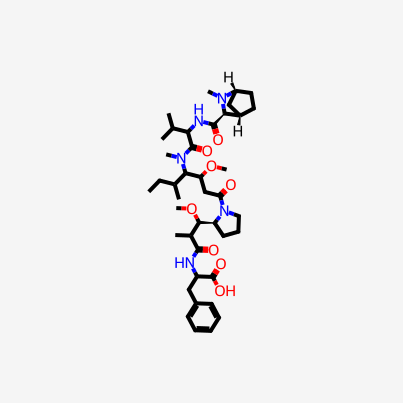 CCC(C)C(C(CC(=O)N1CCC[C@H]1C(OC)C(C)C(=O)NC(Cc1ccccc1)C(=O)O)OC)N(C)C(=O)C(NC(=O)[C@@H]1[C@H]2CC[C@H](C2)N1C)C(C)C